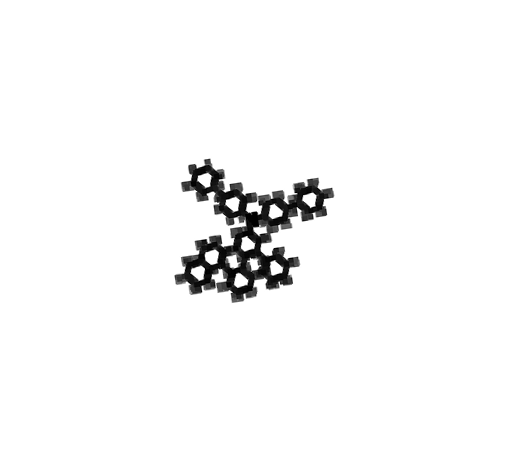 c1ccc(-c2ccc(N(c3ccc(-c4ccccc4)cc3)c3ccc(-c4ccccc4-c4cccc5ccccc45)c(-c4ccccc4)c3)cc2)cc1